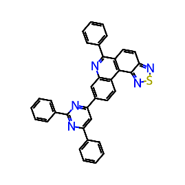 c1ccc(-c2cc(-c3ccc4c(c3)nc(-c3ccccc3)c3ccc5nsnc5c34)nc(-c3ccccc3)n2)cc1